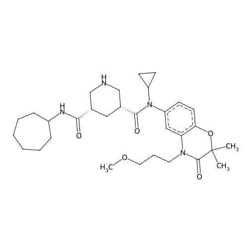 COCCCN1C(=O)C(C)(C)Oc2ccc(N(C(=O)[C@H]3CNC[C@@H](C(=O)NC4CCCCCC4)C3)C3CC3)cc21